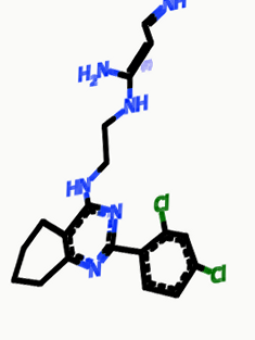 N=C/C=C(\N)NCCNc1nc(-c2ccc(Cl)cc2Cl)nc2c1CCCC2